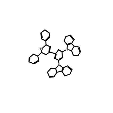 C1=CCC(C2CC(C3=CC(N4C5=C(CCC=C5)C5C=CCCC54)=CC(N4C5=C(C=CCC5)C5C=CCCC54)C3)=CC(C3=CCCC=C3)N2)C=C1